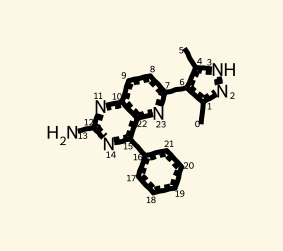 Cc1n[nH]c(C)c1-c1ccc2nc(N)nc(-c3ccccc3)c2n1